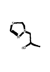 CC(O)CN1CSC=N1